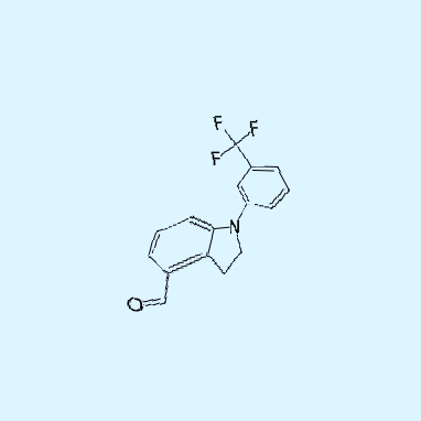 O=Cc1cccc2c1CCN2c1cccc(C(F)(F)F)c1